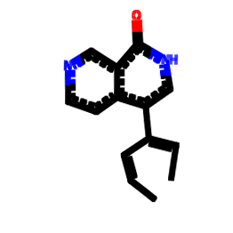 C/C=C\C(=C/C)c1c[nH]c(=O)c2cnccc12